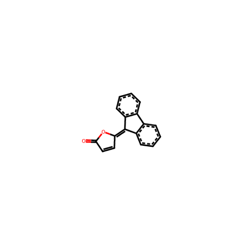 O=C1C=CC(=C2c3ccccc3-c3ccccc32)O1